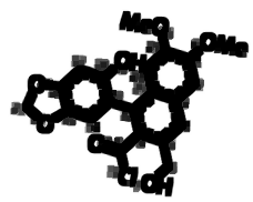 COc1cc2cc(CO)c(C(=O)Cl)c(-c3cc4c(cc3O)OCO4)c2cc1OC